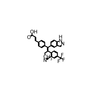 CCC(=C(c1ccc(C=CC(=O)O)cc1)c1ccc2[nH]ncc2c1)c1ccc(C(F)(F)F)cc1C#N